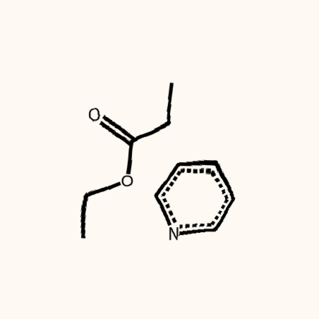 CCOC(=O)CC.c1ccncc1